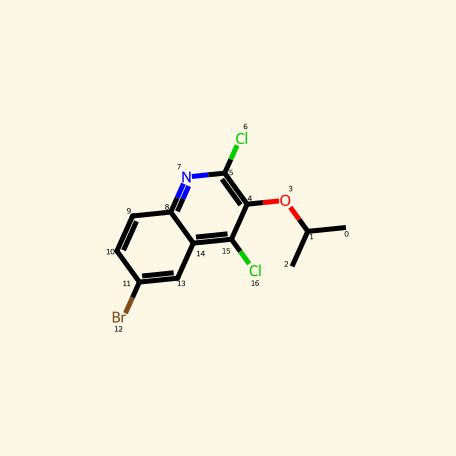 CC(C)Oc1c(Cl)nc2ccc(Br)cc2c1Cl